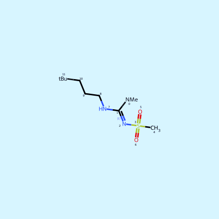 CN/C(=N\S(C)(=O)=O)NCCCC(C)(C)C